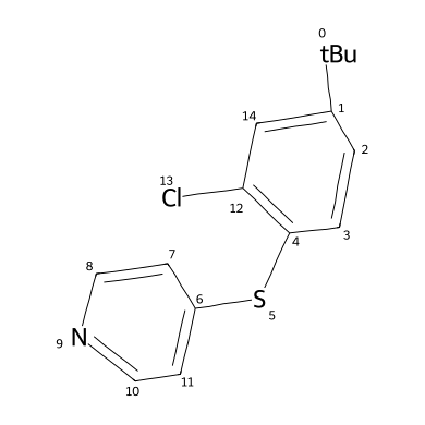 CC(C)(C)c1ccc(Sc2ccncc2)c(Cl)c1